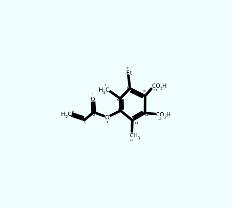 C=CC(=O)Oc1c(C)c(CC)c(C(=O)O)c(C(=O)O)c1C